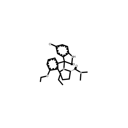 CCOc1cccc(C2(N3CCC[C@H]3C(=O)N(C)C)C(=O)Nc3ccc(Cl)cc32)c1OCC